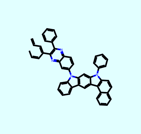 C=C/C=C(\C=C/C)c1nc2cc(-n3c4ccccc4c4cc5c6c7ccccc7ccc6n(-c6ccccc6)c5cc43)ccc2nc1-c1ccccc1